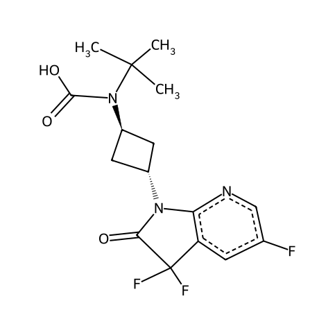 CC(C)(C)N(C(=O)O)[C@H]1C[C@H](N2C(=O)C(F)(F)c3cc(F)cnc32)C1